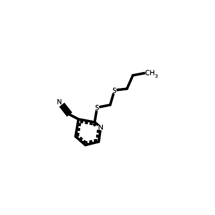 CCCSCSc1ncccc1C#N